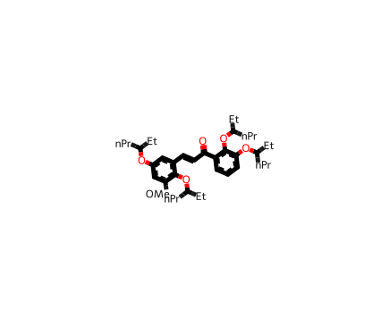 CCCC(CC)Oc1cc(C=CC(=O)c2cccc(OC(CC)CCC)c2OC(CC)CCC)c(OC(CC)CCC)c(OC)c1